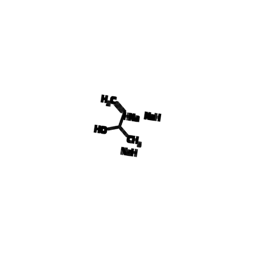 C=CC(C)O.[NaH].[NaH].[NaH]